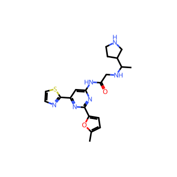 Cc1ccc(-c2nc(NC(=O)CNC(C)C3CCNC3)cc(-c3nccs3)n2)o1